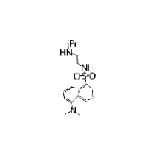 CC(C)NCCNS(=O)(=O)c1cccc2c(N(C)C)cccc12